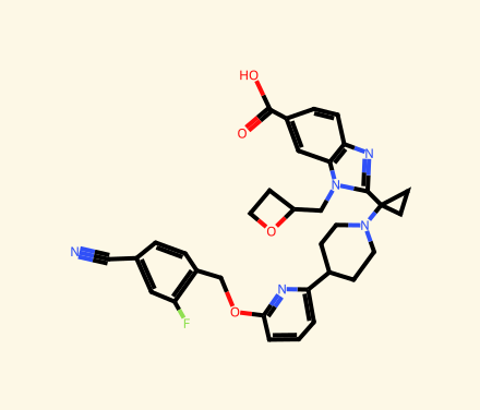 N#Cc1ccc(COc2cccc(C3CCN(C4(c5nc6ccc(C(=O)O)cc6n5CC5CCO5)CC4)CC3)n2)c(F)c1